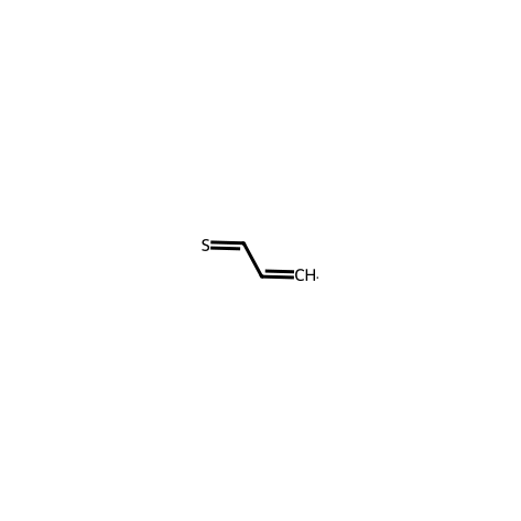 [CH]=CC=S